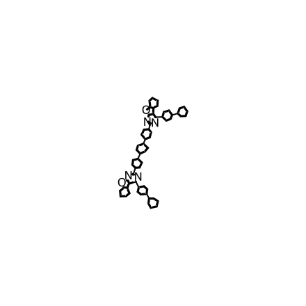 c1ccc(-c2ccc(-c3nc(-c4ccc(-c5ccc(-c6ccc(-c7nc(-c8ccc(-c9ccccc9)cc8)c8c(n7)oc7ccccc78)cc6)cc5)cc4)nc4oc5ccccc5c34)cc2)cc1